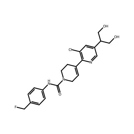 O=C(Nc1ccc(CF)cc1)N1CC=C(c2ncc(C(CO)CO)cc2Cl)CC1